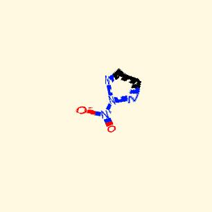 O=[N+]([O-])n1nccn1